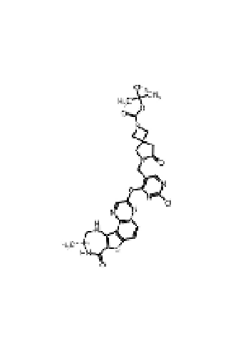 C[C@@H]1CNc2c(sc3ccc4nc(Oc5nc(Cl)ncc5CN5CC6(CC5=O)CN(C(=O)OC(C)(C)C)C6)cnc4c23)C(=O)N1